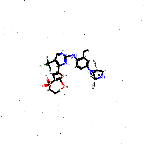 CCc1cc(N2C[C@H]3C[C@@H]2CN3)ccc1Nc1ncc(C(F)(F)F)c(-c2cc3c(s2)OCCCS3(=O)=O)n1